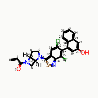 C=CC(=O)N1C[C@@H]2[C@H]1CCN2c1snc2c(F)c(-c3cc(O)cc4ccccc34)c(Cl)cc12